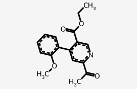 CCOC(=O)c1cnc(C(C)=O)cc1-c1ccccc1OC